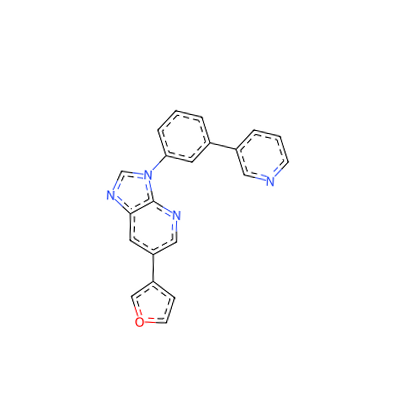 c1cncc(-c2cccc(-n3cnc4cc(-c5ccoc5)cnc43)c2)c1